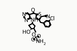 N#Cc1sc(C(=O)c2cncnc2NC2CC(COS(N)(=O)=O)[C@@H](O)C2)cc1Cc1cccc(Cl)c1